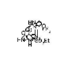 CCOC(=O)c1[nH]cc2c1NC1=C(C(=O)CNC1)C2c1ccc(Sc2nc3cc(OC(F)(F)F)ccc3[nH]2)o1.Cl